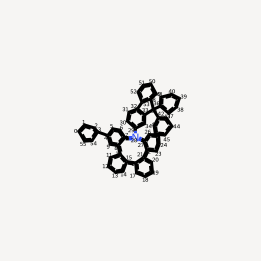 c1ccc(-c2ccc3c(c2)c2ccccc2c2ccccc2c2ccccc2n3-c2ccc3c(c2)C(c2ccccc2)(c2ccccc2)c2ccccc2-3)cc1